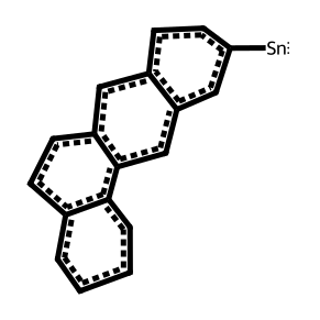 [Sn][c]1ccc2cc3ccc4ccccc4c3cc2c1